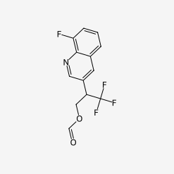 O=COCC(c1cnc2c(F)cccc2c1)C(F)(F)F